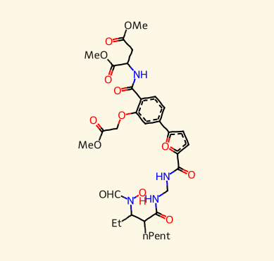 CCCCCC(C(=O)NCNC(=O)c1ccc(-c2ccc(C(=O)NC(CC(=O)OC)C(=O)OC)c(OCC(=O)OC)c2)o1)C(CC)N(O)C=O